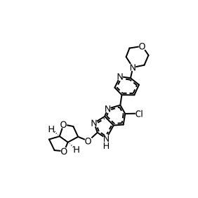 Clc1cc2[nH]c(OC3CO[C@@H]4CCO[C@H]34)nc2nc1-c1ccc(N2CCOCC2)nc1